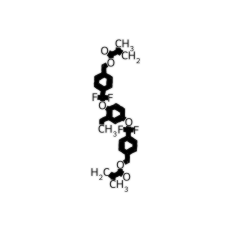 C=C(C)C(=O)OCc1ccc(C(F)(F)Oc2ccc(OC(F)(F)c3ccc(COC(=O)C(=C)C)cc3)c(CC)c2)cc1